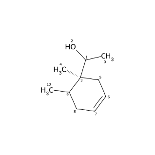 CC(O)[C@@]1(C)CC=CCC1C